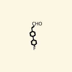 O=CC=Cc1ccc(-c2ccc(F)cc2)cc1